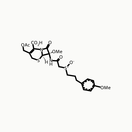 COc1ccc(CCC[S+]([O-])CC(=O)N[C@]2(OC)C(=O)N3C(C(=O)O)=C(COC(C)=O)CS[C@@H]32)cc1